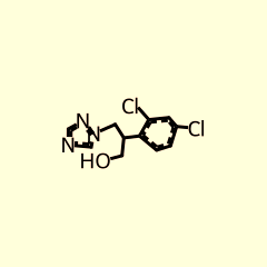 OCC(Cn1cncn1)c1ccc(Cl)cc1Cl